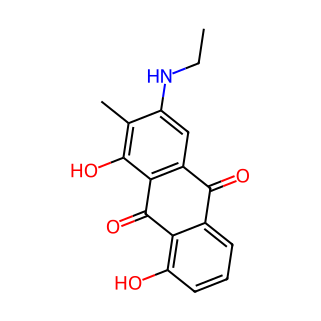 CCNc1cc2c(c(O)c1C)C(=O)c1c(O)cccc1C2=O